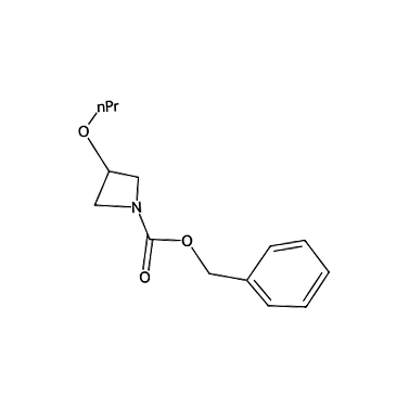 CCCOC1CN(C(=O)OCc2ccccc2)C1